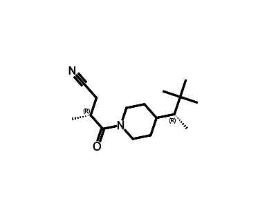 C[C@H](CC#N)C(=O)N1CCC([C@@H](C)C(C)(C)C)CC1